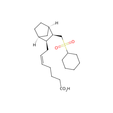 O=C(O)CCC/C=C\C[C@H]1[C@H]2CC[C@H](C2)[C@H]1CS(=O)(=O)C1CCCCC1